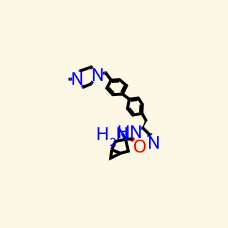 CN1CCN(Cc2ccc(-c3ccc(C[C@@H](C#N)NC(=O)C4(N)CC5CC5C4)cc3)cc2)CC1